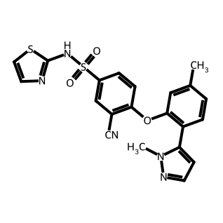 Cc1ccc(-c2ccnn2C)c(Oc2ccc(S(=O)(=O)Nc3nccs3)cc2C#N)c1